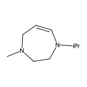 CC(C)N1C=CCN(C)CC1